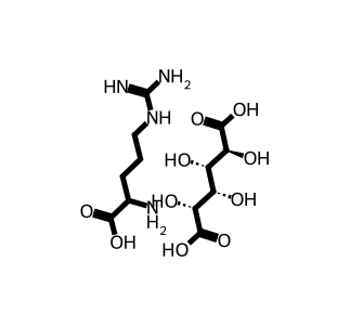 N=C(N)NCCCC(N)C(=O)O.O=C(O)[C@@H](O)[C@@H](O)[C@H](O)[C@@H](O)C(=O)O